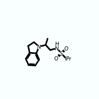 CC(CNS(=O)(=O)C(C)C)N1CCc2ccccc21